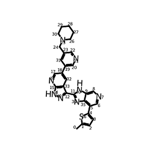 Cc1ccc(-c2cncc3[nH]c(-c4n[nH]c5ncc(-c6cncc(CN7CCCCC7)c6)cc45)nc23)s1